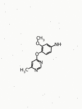 COc1cc([NH])ccc1Oc1cc(C)ncn1